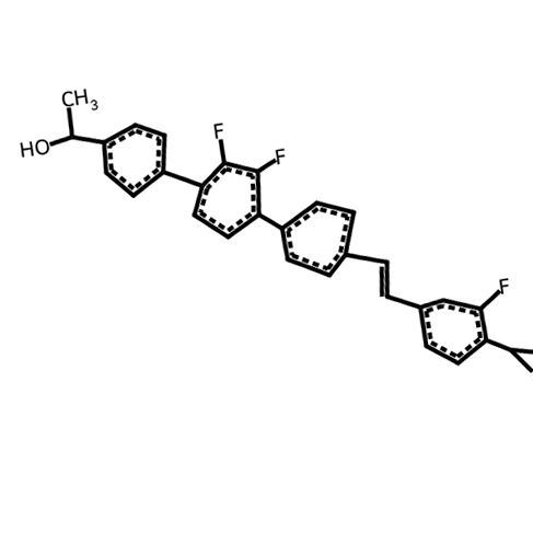 CC(O)c1ccc(-c2ccc(-c3ccc(/C=C/c4ccc(C5CO5)c(F)c4)cc3)c(F)c2F)cc1